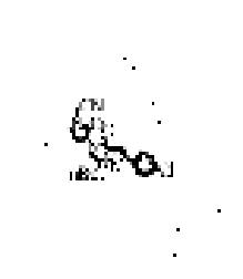 CCCCC1CN(C2CCN(CC#N)C2=O)C(=O)c2cc(-c3ccc(Cl)cc3)nn21